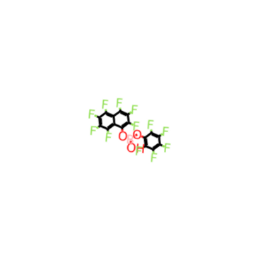 OB(Oc1c(F)c(F)c(F)c(F)c1F)Oc1c(F)c(F)c(F)c2c(F)c(F)c(F)c(F)c12